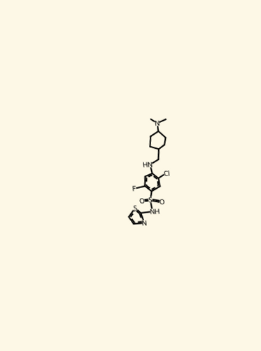 CN(C)C1CCC(CNc2cc(F)c(S(=O)(=O)Nc3nccs3)cc2Cl)CC1